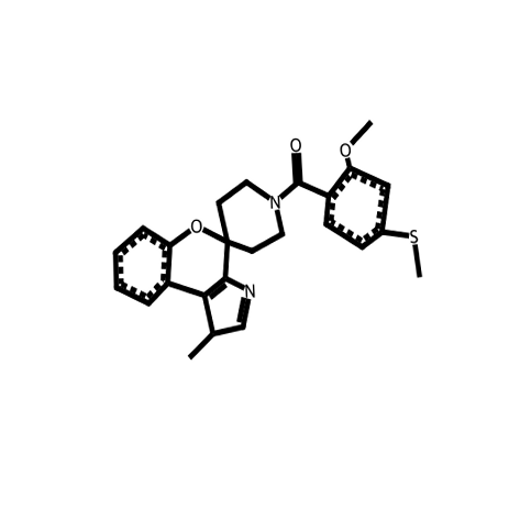 COc1cc(SC)ccc1C(=O)N1CCC2(CC1)Oc1ccccc1C1=C2N=CC1C